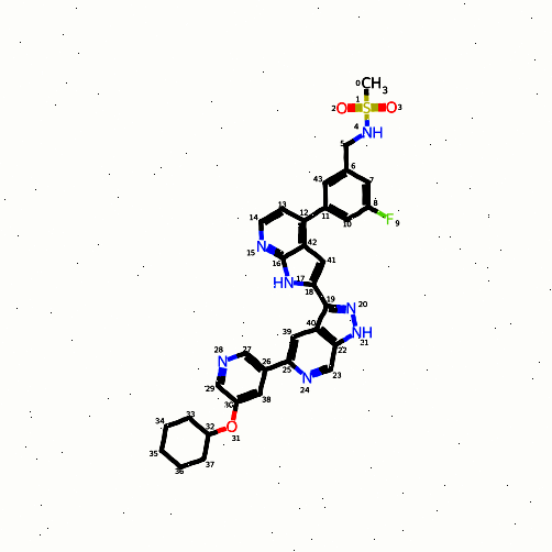 CS(=O)(=O)NCc1cc(F)cc(-c2ccnc3[nH]c(-c4n[nH]c5cnc(-c6cncc(OC7CCCCC7)c6)cc45)cc23)c1